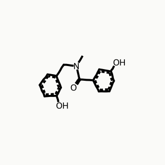 CN(Cc1cccc(O)c1)C(=O)c1cccc(O)c1